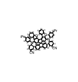 CC(C)c1ccc(N(c2ccc(C#N)cc2)c2cc3c(c4c2oc2ccccc24)-c2c(cc(N(c4ccc(C(C)C)cc4)C4C=CC(C#N)=CC4)c4c5c(oc24)C=CCC5)C32c3ccccc3-c3ccccc32)cc1